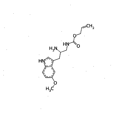 C=CCOC(=O)NCC(N)Cc1c[nH]c2ccc(OC)cc12